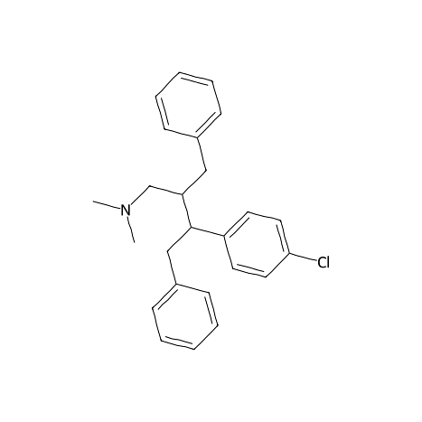 CN(C)CC(Cc1ccccc1)C(Cc1ccccc1)c1ccc(Cl)cc1